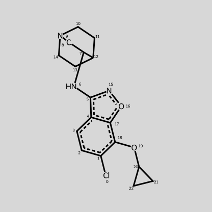 Clc1ccc2c(NC3CN4CCC3CC4)noc2c1OC1CC1